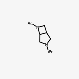 CC(=O)N1CC2CN(C(C)C)CC21